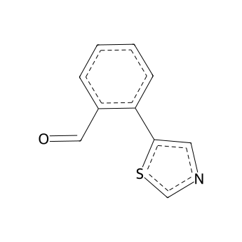 O=Cc1ccccc1-c1cncs1